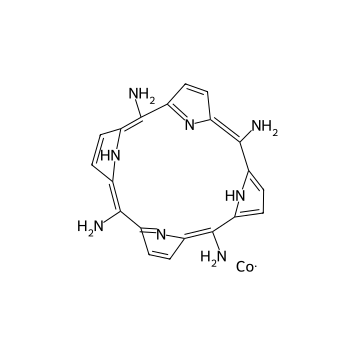 Nc1c2nc(c(N)c3ccc([nH]3)c(N)c3nc(c(N)c4ccc1[nH]4)C=C3)C=C2.[Co]